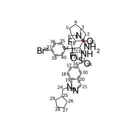 NC1CC2CCC(C1)N2C(=O)C(NS(=O)(=O)c1ccc2c(cnn2CC2CCCC2)c1)C(F)(F)c1ccc(Br)cc1